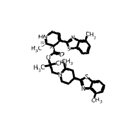 Cc1cccc2sc(C3=CCN[C@@H](C)[C@@H]3C(=O)OC(C)(C)CN3CCC(c4nc5c(C)cccc5s4)CC3C)nc12